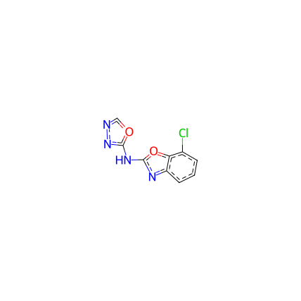 Clc1cccc2nc(Nc3nnco3)oc12